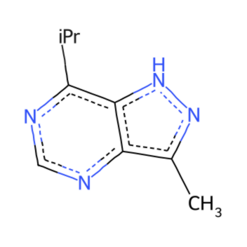 Cc1n[nH]c2c(C(C)C)ncnc12